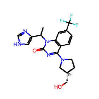 CC(c1c[nH]cn1)n1c(=O)nc(N2CC[C@H](CO)C2)c2ccc(C(F)(F)F)cc21